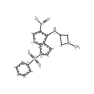 CN1CC(Nc2c([N+](=O)[O-])cnc3c2ccn3S(=O)(=O)c2ccccc2)C1